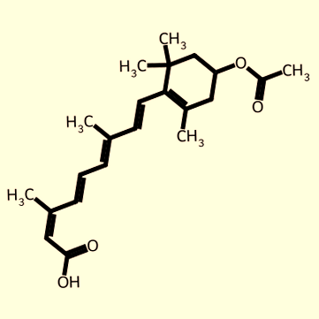 CC(=O)OC1CC(C)=C(/C=C/C(C)=C/C=C/C(C)=C\C(=O)O)C(C)(C)C1